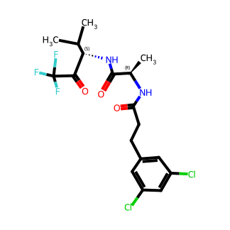 CC(C)[C@H](NC(=O)[C@@H](C)NC(=O)CCc1cc(Cl)cc(Cl)c1)C(=O)C(F)(F)F